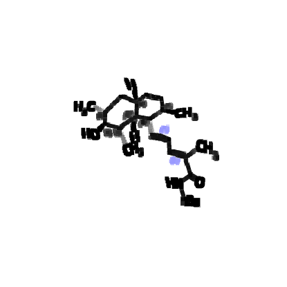 CCCCNC(=O)/C(C)=C/C=C/[C@@H]1[C@@H]2[C@H](C)[C@@H](O)[C@H](C)C[C@@H]2C=C[C@H]1C